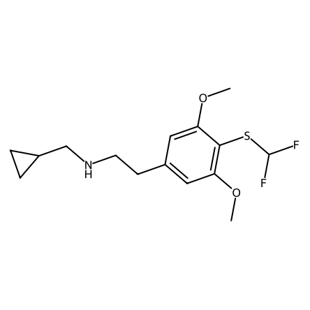 COc1cc(CCNCC2CC2)cc(OC)c1SC(F)F